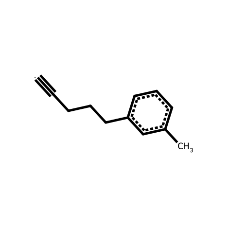 [C]#CCCCc1cccc(C)c1